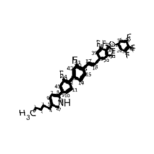 CCCCCC1=CC=C(c2ccc(-c3ccc(/C=C/c4cc(F)c(C(F)(F)Oc5cc(F)c(F)c(F)c5)c(F)c4)c(F)c3)c(F)c2)NC1